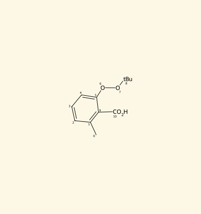 Cc1cccc(OOC(C)(C)C)c1C(=O)O